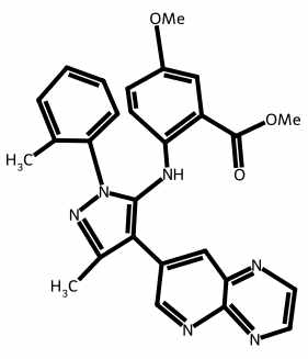 COC(=O)c1cc(OC)ccc1Nc1c(-c2cnc3nccnc3c2)c(C)nn1-c1ccccc1C